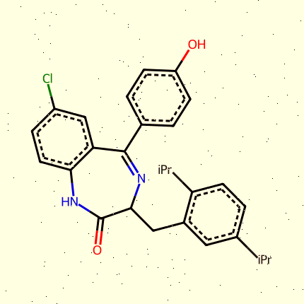 CC(C)c1ccc(C(C)C)c(CC2N=C(c3ccc(O)cc3)c3cc(Cl)ccc3NC2=O)c1